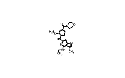 CCNc1nc(Nc2ccc(C(=O)N3CCOCC3)cc2OC)nc2[nH]cc(C)c12